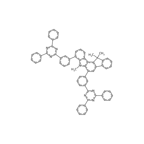 Cn1c2c(-c3cccc(-c4nc(-c5ccccc5)nc(-c5ccccc5)n4)c3)cccc2c2c3c(cc(-c4cccc(-c5nc(-c6ccccc6)nc(-c6ccccc6)n5)c4)c21)-c1ccccc1C3(C)C